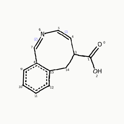 O=C(O)C1/C=C\N=C/c2ccccc2C1